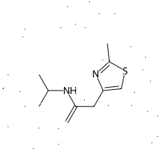 C=C(Cc1csc(C)n1)NC(C)C